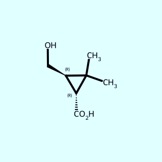 CC1(C)[C@H](CO)[C@H]1C(=O)O